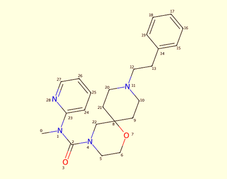 CN(C(=O)N1CCOC2(CCN(CCc3ccccc3)CC2)C1)c1ccccn1